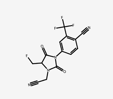 N#CCN1C(=O)N(c2ccc(C#N)c(C(F)(F)F)c2)C(=O)C1CF